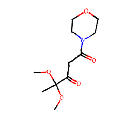 COC(C)(OC)C(=O)CC(=O)N1CCOCC1